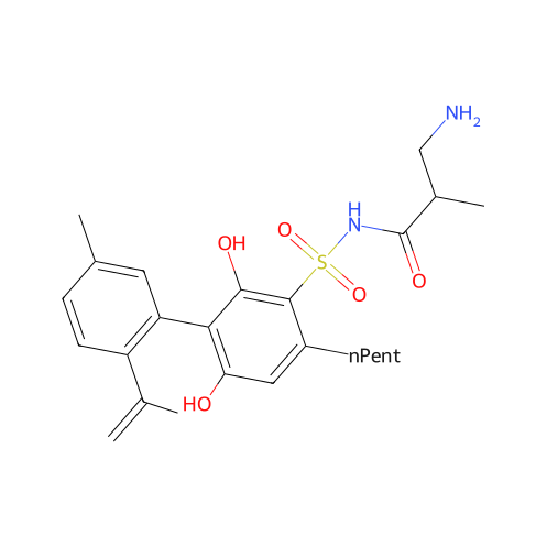 C=C(C)c1ccc(C)cc1-c1c(O)cc(CCCCC)c(S(=O)(=O)NC(=O)C(C)CN)c1O